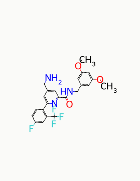 COc1cc(CNC(=O)c2cc(CN)cc(-c3ccc(F)cc3C(F)(F)F)n2)cc(OC)c1